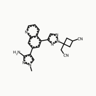 Cn1cc(-c2cc(-c3cnn(C4(CC#N)CC(C#N)C4)n3)c3cccnc3c2)c(N)n1